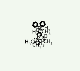 COC(=O)[C@H]1C[C@H](O[Si](c2ccccc2)(c2ccccc2)C(C)(C)C)CN1C(=O)OC(C)(C)C